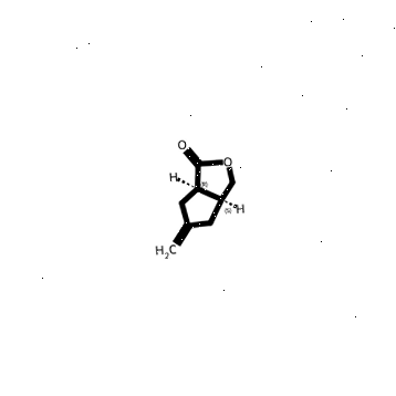 C=C1C[C@@H]2COC(=O)[C@@H]2C1